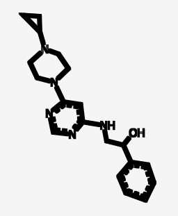 OC(CNc1cc(N2CCN(C3CC3)CC2)ncn1)c1ccccc1